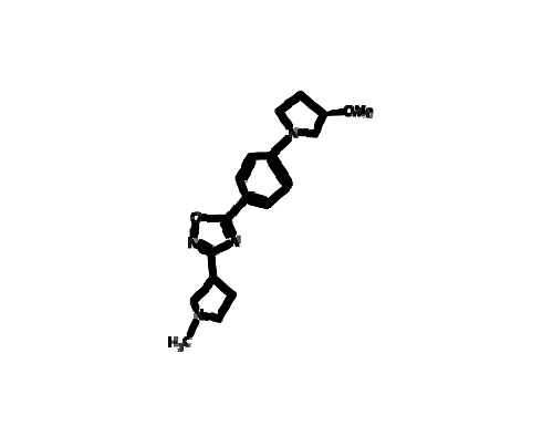 CO[C@@H]1CCN(c2ccc(-c3nc(C4CCN(C)C4)no3)cc2)C1